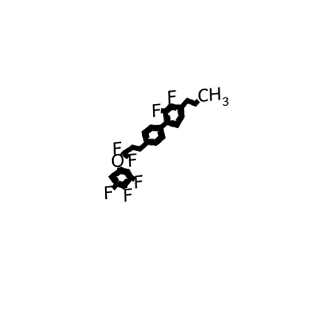 CCCc1ccc(-c2ccc(CCC(F)(F)Oc3cc(F)c(F)c(F)c3)cc2)c(F)c1F